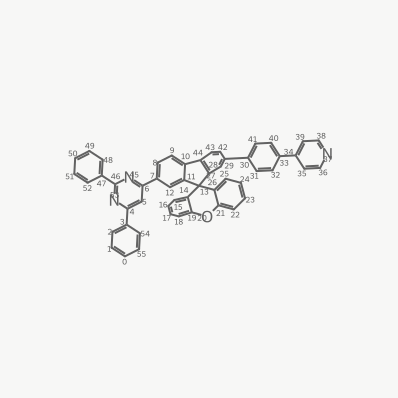 c1ccc(-c2cc(-c3ccc4c(c3)C3(c5ccccc5Oc5ccccc53)c3cc(-c5ccc(-c6ccncc6)cc5)ccc3-4)nc(-c3ccccc3)n2)cc1